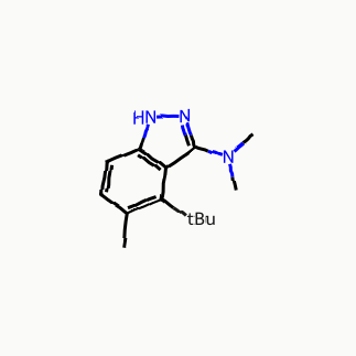 Cc1ccc2[nH]nc(N(C)C)c2c1C(C)(C)C